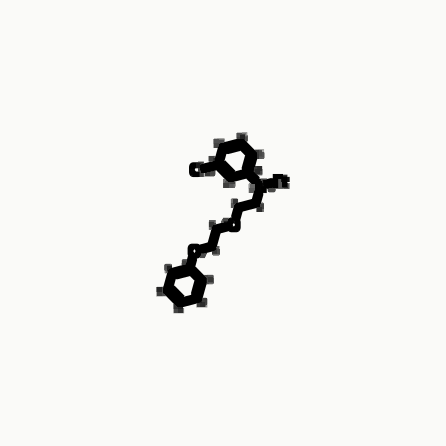 CCN(CCOCCOc1ccccc1)c1cccc(Cl)c1